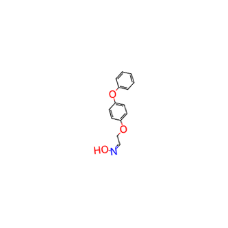 O/N=C\COc1ccc(Oc2ccccc2)cc1